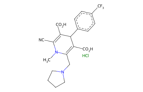 CN1C(C#N)=C(C(=O)O)C(c2ccc(C(F)(F)F)cc2)C(C(=O)O)=C1CN1CCCC1.Cl